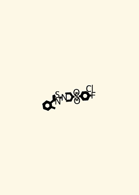 Cc1ccccc1-c1csc(N2CCC(S(=O)(=O)c3ccc(F)c(Cl)c3)CC2)n1